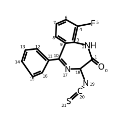 O=C1Nc2c(F)cccc2C(c2ccccc2)=NC1N=C=S